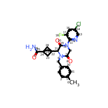 Cc1ccc(CN2C(=O)CN(c3ncc(Cl)cc3F)C(=O)[C@@H]2C23CC(C(N)=O)(C2)C3)cc1